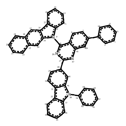 c1ccc(-c2ccc3c(-n4c5ccccc5c5cc6ccccc6cc54)nc(-c4ccc5c6ccccc6n(-c6ccccc6)c5c4)nc3c2)cc1